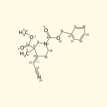 COC(=O)C1(C)CN(C(=O)OCc2ccccc2)CC/C1=C\C#N